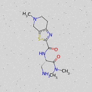 CN1CCc2nc(C(=O)N[C@@H](CN)C(=O)N(C)C)sc2C1